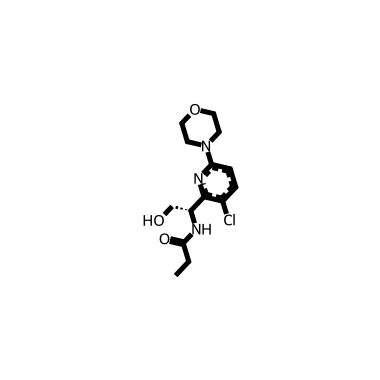 CCC(=O)N[C@H](CO)c1nc(N2CCOCC2)ccc1Cl